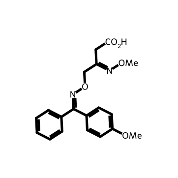 CON=C(CON=C(c1ccccc1)c1ccc(OC)cc1)CC(=O)O